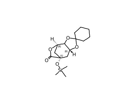 C[Si](C)(C)O[C@@]12C[C@@H](OC1=O)C1OC3(CCCCC3)O[C@@H]1C2